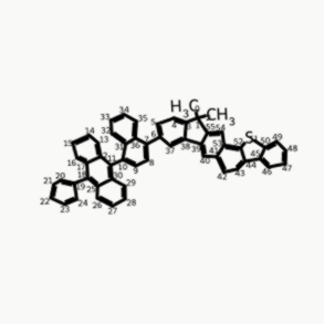 CC1(C)c2ccc(-c3ccc(-c4c5ccccc5c(-c5ccccc5)c5ccccc45)c4ccccc34)cc2-c2cc3ccc4c5ccccc5sc4c3cc21